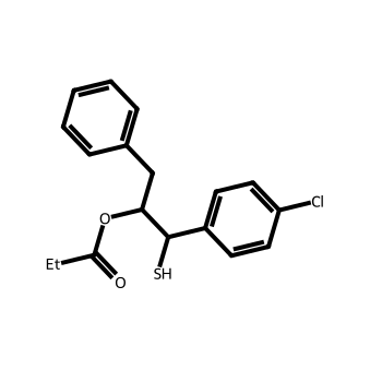 CCC(=O)OC(Cc1ccccc1)C(S)c1ccc(Cl)cc1